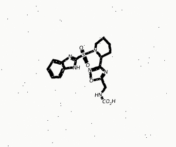 O=C(O)NCc1nc(C2CCCCN2S(=O)(=O)c2nc3ccccc3[nH]2)no1